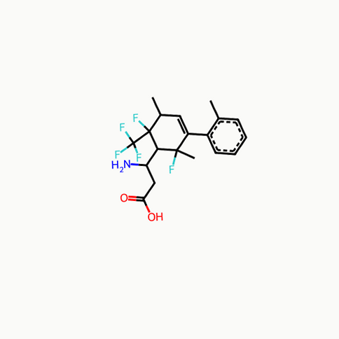 Cc1ccccc1C1=CC(C)C(F)(C(F)(F)F)C(C(N)CC(=O)O)C1(C)F